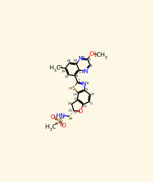 COc1cnc2c(-c3nc4ccc5c(c4s3)C[C@@H](CNS(C)(=O)=O)O5)cc(C)cc2n1